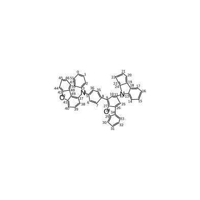 c1ccc(N(c2ccc(-c3cc(-n4c5ccccc5c5ccccc54)cc4c3oc3ccccc34)cc2)c2cccc3oc4ccccc4c23)cc1